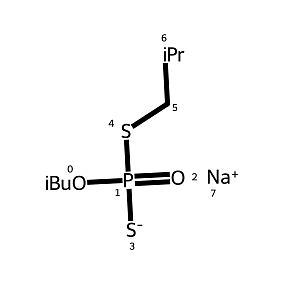 CC(C)COP(=O)([S-])SCC(C)C.[Na+]